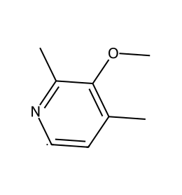 COc1c(C)c[c]nc1C